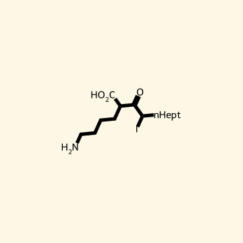 CCCCCCCC(I)C(=O)C(CCCCN)C(=O)O